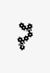 c1cc(-c2ccc(-c3nc4c(nc5ccccn54)c4ccccc34)cc2)cc(-c2nc(-c3ccc4ccccc4c3)c3ccccc3n2)c1